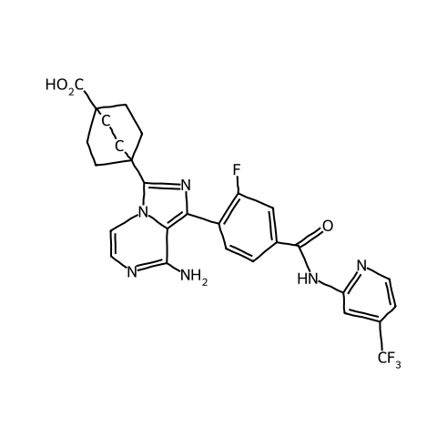 Nc1nccn2c(C34CCC(C(=O)O)(CC3)CC4)nc(-c3ccc(C(=O)Nc4cc(C(F)(F)F)ccn4)cc3F)c12